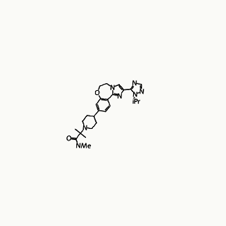 CNC(=O)C(C)(C)N1CCC(c2ccc3c(c2)OCCn2cc(-c4ncnn4C(C)C)nc2-3)CC1